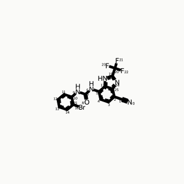 N#Cc1ccc(NC(=O)Nc2ccccc2Br)c2[nH]c(C(F)(F)F)nc12